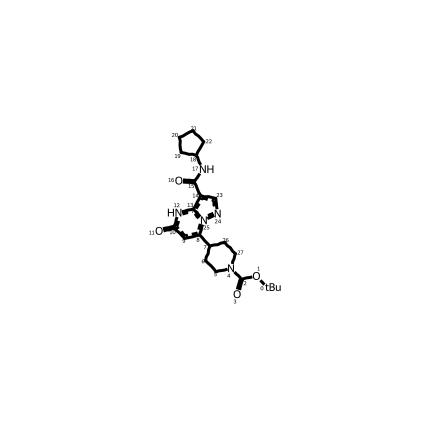 CC(C)(C)OC(=O)N1CCC(c2cc(=O)[nH]c3c(C(=O)NC4CCCC4)cnn23)CC1